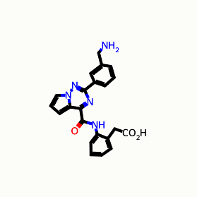 NCc1cccc(-c2nc(C(=O)Nc3ccccc3CC(=O)O)c3cccn3n2)c1